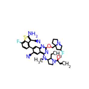 C=CC(=O)N1CCC(N(C)c2nc(OCC34CCCN3CC(F)C4)nc3cc(-c4ccc(F)c5sc(N)c(C#N)c45)c(C#N)cc23)C1CC